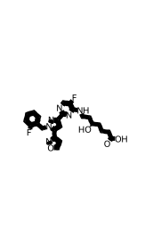 O=C(O)CCC[C@H](O)CCNc1nc(-c2cc(-c3ccon3)n(Cc3ccccc3F)n2)ncc1F